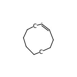 [C]1=C\CCCCCCCC/1